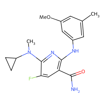 COc1cc(C)cc(Nc2nc(N(C)C3CC3)c(F)cc2C(N)=O)c1